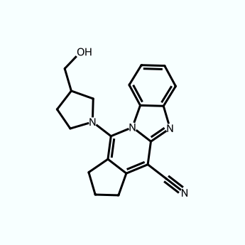 N#Cc1c2c(c(N3CCC(CO)C3)n3c1nc1ccccc13)CCC2